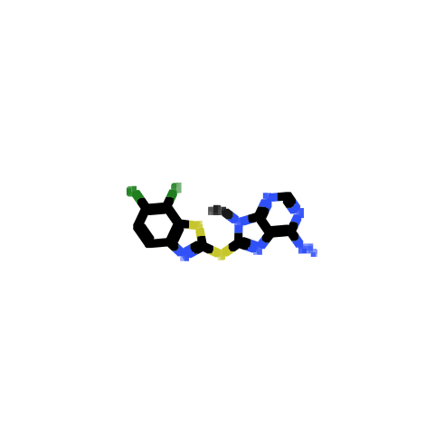 CCCCn1c(Sc2nc3ccc(Cl)c(Cl)c3s2)nc2c(N)ncnc21